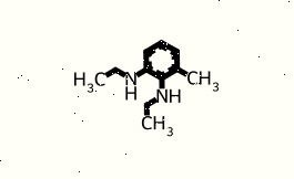 CCNc1cccc(C)c1NCC